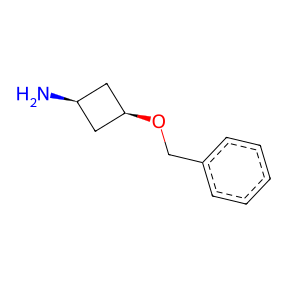 N[C@H]1C[C@@H](OCc2ccccc2)C1